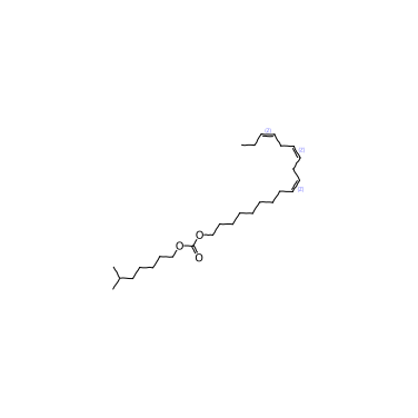 CC/C=C\C/C=C\C/C=C\CCCCCCCCOC(=O)OCCCCCC(C)C